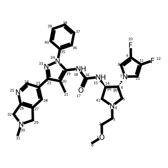 COCCN1C[C@@H](n2cc(F)c(F)c2)[C@H](NC(=O)Nc2c(C)c(-c3cnc4c(c3)CN(C)C4)nn2-c2ccccc2)C1